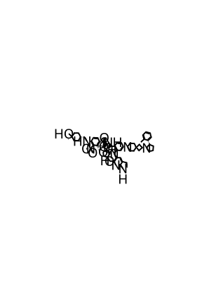 Cc1ccccc1[C@@H]1CCCN1C1CC2(CCN(c3ccc(C(=O)NS(=O)(=O)c4ccc(NC[C@H]5CC[C@](C)(O)CC5)c([N+](=O)[O-])c4)c(N4c5cc6cc[nH]c6nc5O[C@H]5COC[C@@H]54)c3)CC2)C1